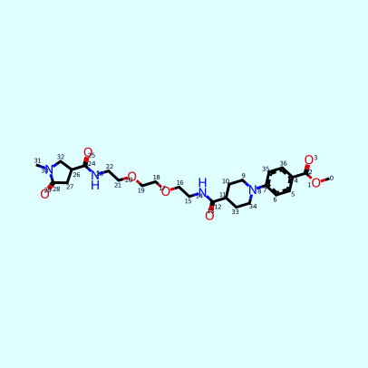 COC(=O)c1ccc(N2CCC(C(=O)NCCOCCOCCNC(=O)C3CC(=O)N(C)C3)CC2)cc1